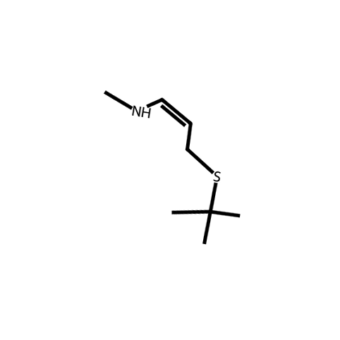 CN/C=C\CSC(C)(C)C